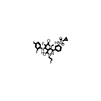 Cn1c(=O)c(F)c(Nc2ccc(I)cc2F)c2c(=O)n(CCF)nc(-c3cccc(NS(=O)(=O)C4CC4)c3)c21